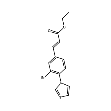 CCOC(=O)C=Cc1ccc(-n2ccnc2)c(Br)c1